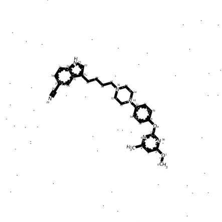 COc1cc(C)nc(Oc2ccc(N3CCN(CCCCc4c[nH]c5ccc(C#N)cc45)CC3)cc2)n1